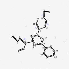 C=C/C=C(\C=C)c1nc(C(/C=C\C=C/C)=C/C)nc(-c2ccccc2)n1